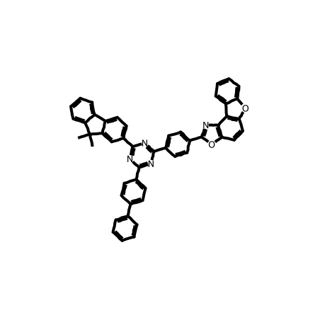 CC1(C)c2ccccc2-c2ccc(-c3nc(-c4ccc(-c5ccccc5)cc4)nc(-c4ccc(-c5nc6c(ccc7oc8ccccc8c76)o5)cc4)n3)cc21